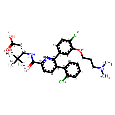 CN(C)CCCOc1cc(-c2nc(C(=O)N[C@@H](CC(=O)O)C(C)(C)C)ccc2-c2ccccc2Cl)ccc1Cl